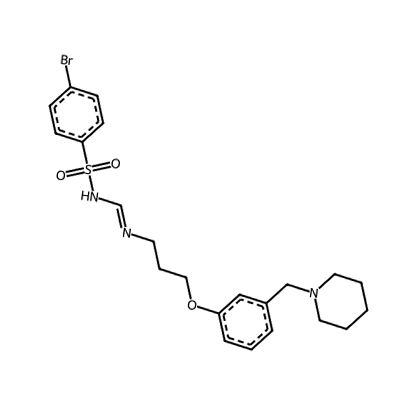 O=S(=O)(NC=NCCCOc1cccc(CN2CCCCC2)c1)c1ccc(Br)cc1